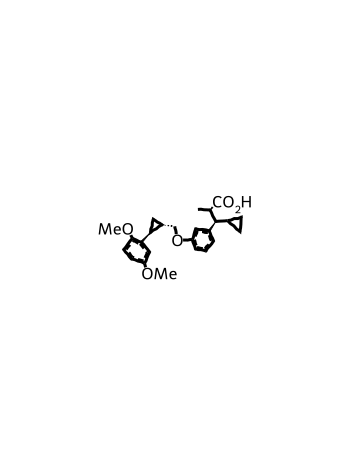 COc1ccc(OC)c([C@H]2C[C@@H]2COc2cccc([C@H](C3CC3)[C@H](C)C(=O)O)c2)c1